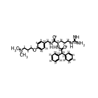 CN(C)CCCOc1ccc(CNC(=O)[C@@H](CCCNC(=N)N)NC(=O)C(c2ccccc2)c2ccccc2)cc1